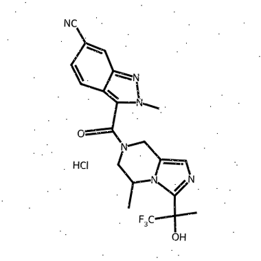 CC1CN(C(=O)c2c3ccc(C#N)cc3nn2C)Cc2cnc(C(C)(O)C(F)(F)F)n21.Cl